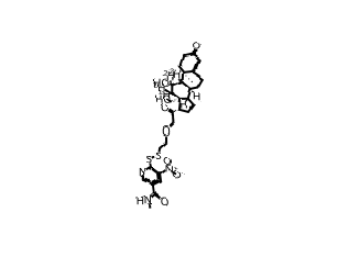 [2H]C1([2H])[C@]2(CO)[C@@H](C(=O)COCCSSc3ncc(C(=O)NC)cc3[N+](=O)[O-])CC[C@H]2[C@@H]2CCC3=CC(=O)CC[C@]3(C)[C@@]2([2H])[C@@]1([2H])O